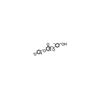 COc1ccc(COc2cnn(CC(=O)c3ccc(CO)cc3C)c(=O)c2)nc1